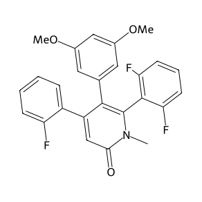 COc1cc(OC)cc(-c2c(-c3ccccc3F)cc(=O)n(C)c2-c2c(F)cccc2F)c1